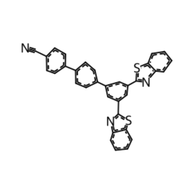 N#Cc1ccc(-c2ccc(-c3cc(-c4nc5ccccc5s4)cc(-c4nc5ccccc5s4)c3)cc2)cc1